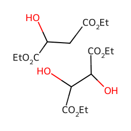 CCOC(=O)C(O)C(O)C(=O)OCC.CCOC(=O)CC(O)C(=O)OCC